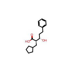 O=C(O)[C@H](CC1CCCC1)[C@@H](O)CCc1ccccc1